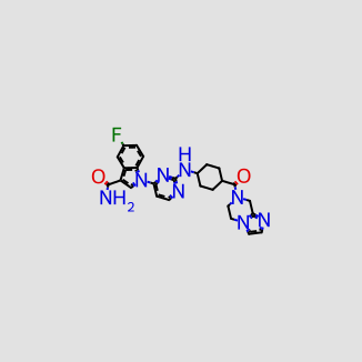 NC(=O)c1cn(-c2ccnc(NC3CCC(C(=O)N4CCn5ccnc5C4)CC3)n2)c2ccc(F)cc12